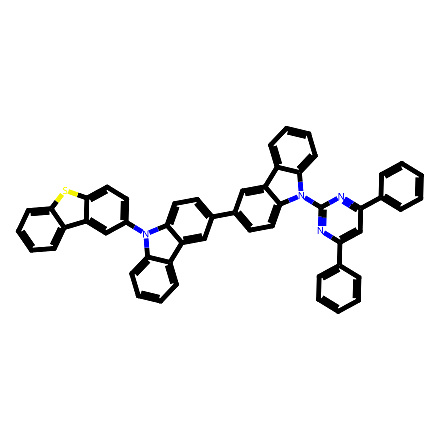 c1ccc(-c2cc(-c3ccccc3)nc(-n3c4ccccc4c4cc(-c5ccc6c(c5)c5ccccc5n6-c5ccc6sc7ccccc7c6c5)ccc43)n2)cc1